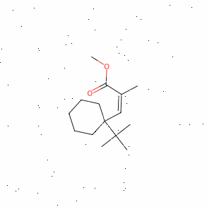 COC(=O)C(C)=CC1(C(C)(C)C)CCCCC1